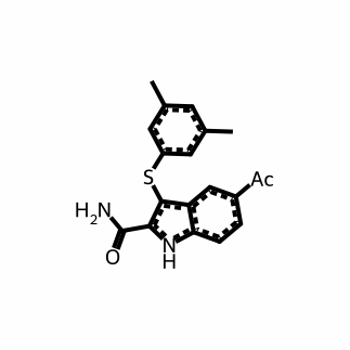 CC(=O)c1ccc2[nH]c(C(N)=O)c(Sc3cc(C)cc(C)c3)c2c1